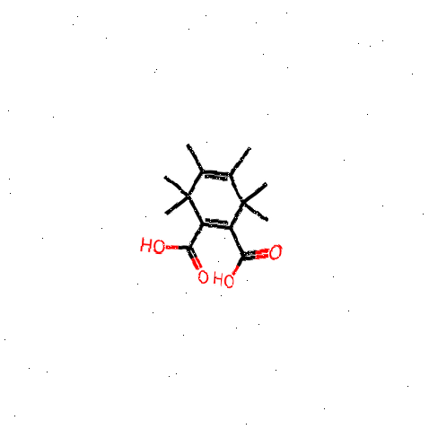 CC1=C(C)C(C)(C)C(C(=O)O)=C(C(=O)O)C1(C)C